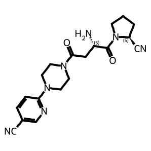 N#Cc1ccc(N2CCN(C(=O)C[C@H](N)C(=O)N3CCC[C@H]3C#N)CC2)nc1